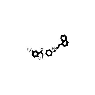 O=C(N[C@H]1CC[C@H](CNCCc2cccc3cccnc23)CC1)c1cc(C(F)(F)F)ccc1Cl